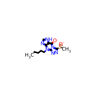 CCCCCn1c2nc[nH]c2c(=O)n2c([S+](C)[O-])nnc12